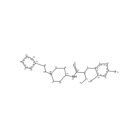 CCC(Cc1ccc(F)cc1F)C(=O)NC1CCN(CCc2ccccc2)CC1